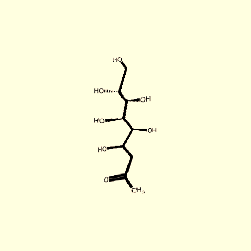 CC(=O)CC(O)[C@H](O)[C@@H](O)[C@H](O)[C@H](O)CO